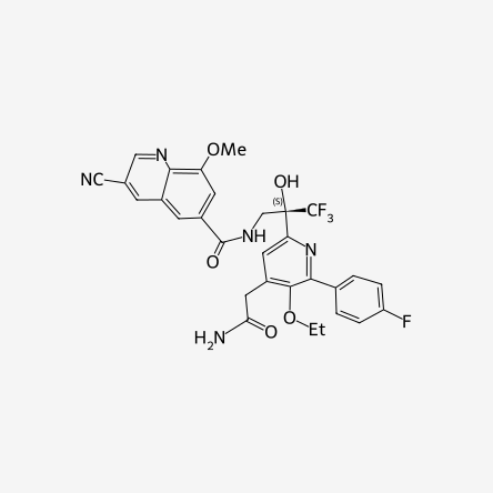 CCOc1c(CC(N)=O)cc([C@@](O)(CNC(=O)c2cc(OC)c3ncc(C#N)cc3c2)C(F)(F)F)nc1-c1ccc(F)cc1